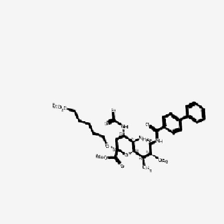 CCOC(=O)CCCCCO[C@]1(C(=O)OC)C[C@H](NC(=O)CC)[C@@H](NC(C)=O)[C@H]([C@H](C)[C@@H](CNC(=O)c2ccc(-c3ccccc3)cc2)OC(C)=O)O1